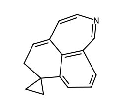 C1=CC2=CCC3(CC3)c3cccc(c32)C=N1